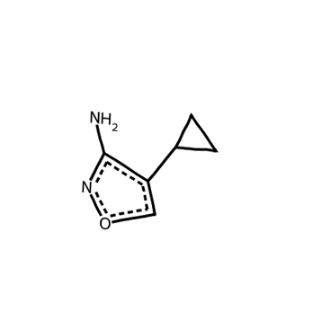 Nc1nocc1C1CC1